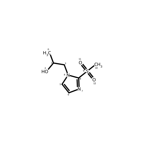 CC(O)Cn1ccnc1S(C)(=O)=O